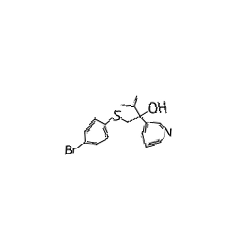 CC(C)C(O)(CSc1ccc(Br)cc1)c1cccnc1